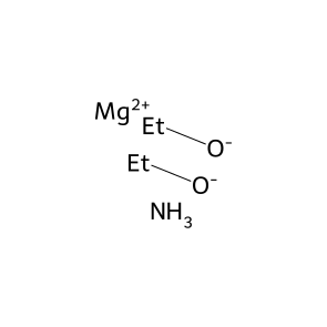 CC[O-].CC[O-].N.[Mg+2]